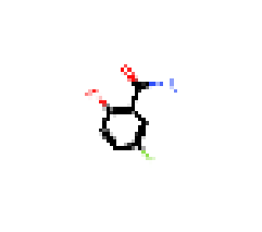 NC(=O)c1cc(F)ccc1O